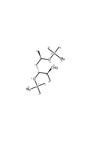 C[C@H](C[C@@H](O[Si](C)(C)C(C)(C)C)[C@H](C)C=O)O[Si](C)(C)C(C)(C)C